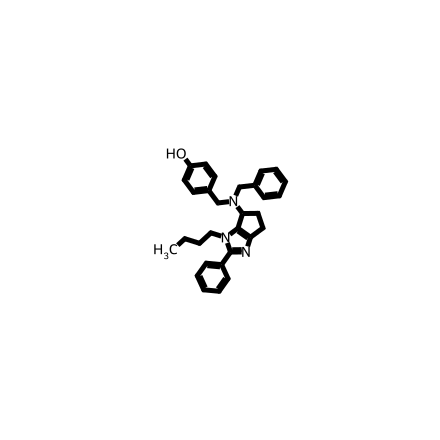 CCCCn1c(-c2ccccc2)nc2c1C(N(Cc1ccccc1)Cc1ccc(O)cc1)CC2